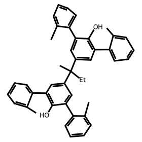 CCC(C)(c1cc(-c2ccccc2C)c(O)c(-c2ccccc2C)c1)c1cc(-c2ccccc2C)c(O)c(-c2ccccc2C)c1